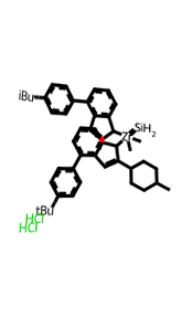 CCC(C)c1ccc(-c2cccc3c2C=C(C)[CH]3[Zr]([CH3])([CH3])(=[SiH2])[CH]2C(C3CCC(C)CC3)=Cc3c(-c4ccc(C(C)(C)C)cc4)cccc32)cc1.Cl.Cl